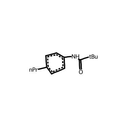 CCCc1ccc(NC(=O)C(C)(C)C)cc1